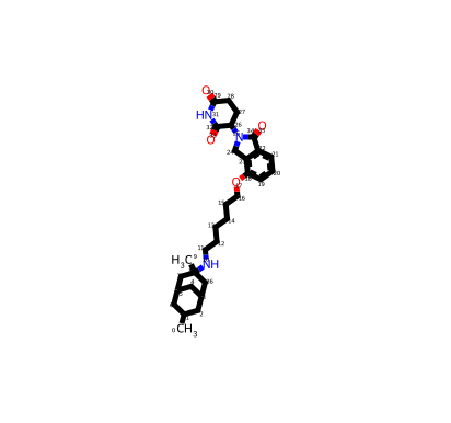 CC1CC2CC(C1)CC(C)(NCCCCCCOc1cccc3c1CN(C1CCC(=O)NC1=O)C3=O)C2